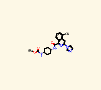 CC(C)(C)OC(=O)N[C@H]1CC[C@H](NC(=O)c2nc(-n3ccnc3)cc3c(C#N)cccc23)CC1